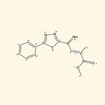 COC(=O)/C(C)=C/C(=N)c1nnc(-c2ccccc2)s1